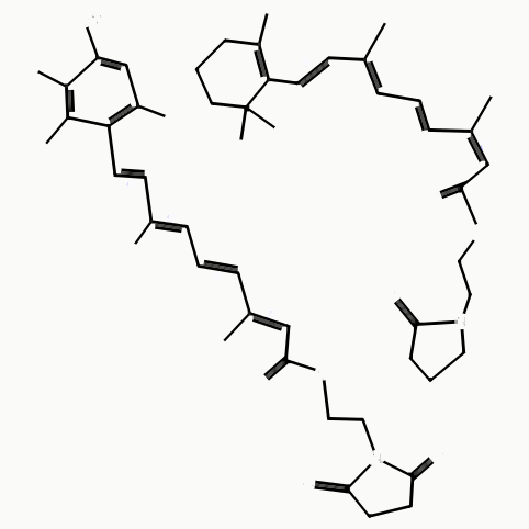 CC(=CC=C/C(C)=C\C(=O)OCCN1CCCC1=O)/C=C/C1=C(C)CCCC1(C)C.COc1cc(C)c(/C=C/C(C)=C/C=C/C(C)=C/C(=O)OCCN2C(=O)CCC2=O)c(C)c1C